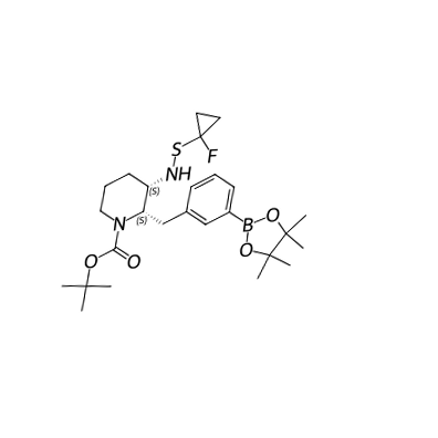 CC(C)(C)OC(=O)N1CCC[C@H](NSC2(F)CC2)[C@@H]1Cc1cccc(B2OC(C)(C)C(C)(C)O2)c1